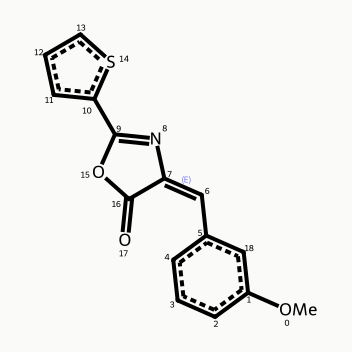 COc1cccc(/C=C2/N=C(c3cccs3)OC2=O)c1